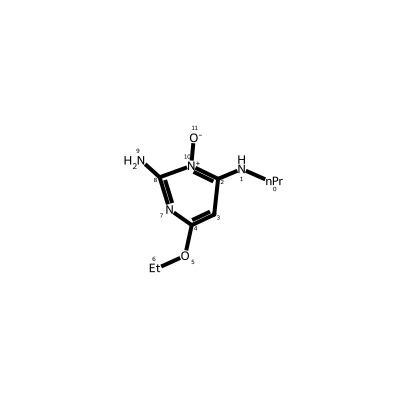 CCCNc1cc(OCC)nc(N)[n+]1[O-]